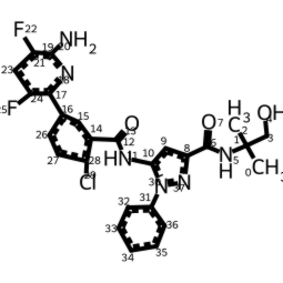 CC(C)(CO)NC(=O)c1cc(NC(=O)c2cc(-c3nc(N)c(F)cc3F)ccc2Cl)n(-c2ccccc2)n1